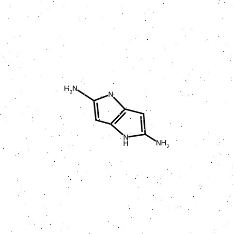 NC1=Cc2[nH]c(N)cc2[N]1